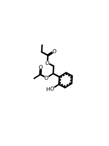 CCC(=O)OCC(OC(C)=O)c1ccccc1O